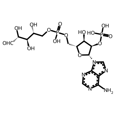 Nc1ncnc2c1ncn2[C@@H]1O[C@H](COP(=O)(O)OC[C@@H](O)[C@@H](O)[C@@H](O)C=O)[C@@H](O)[C@H]1OP(=O)(O)O